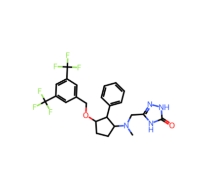 CN(Cc1n[nH]c(=O)[nH]1)C1CCC(OCc2cc(C(F)(F)F)cc(C(F)(F)F)c2)C1c1ccccc1